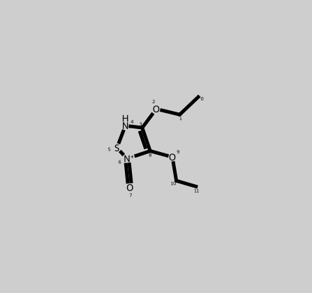 CCOc1[nH]s[n+](=O)c1OCC